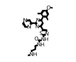 CNCCCNC(=O)Nc1ncc(-c2cc(-c3c(C)cc(OC)cc3C)nc(-c3cnccn3)n2)s1